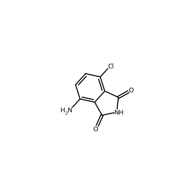 Nc1ccc(Cl)c2c1C(=O)NC2=O